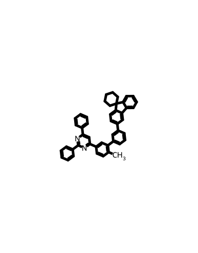 Cc1ccc(-c2cc(-c3ccccc3)nc(-c3ccccc3)n2)cc1-c1cccc(-c2ccc3c(c2)-c2ccccc2C32CCCCC2)c1